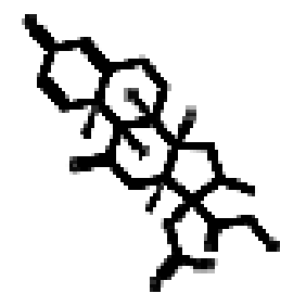 CCCC(=O)O[C@]1(C(=O)CBr)C(C)C[C@H]2[C@@H]3CCC4=CC(=O)C=C[C@]4(C)[C@@]3(F)C(=O)C[C@@]21C